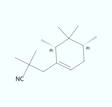 C[C@@H]1CC=C(CC(C)(C)C#N)[C@H](C)C1(C)C